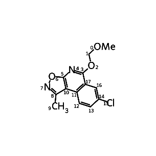 COCOc1nc2onc(C)c2c2ccc(Cl)cc12